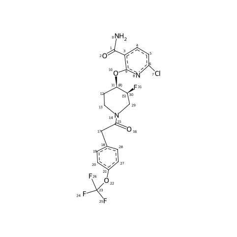 NC(=O)c1ccc(Cl)nc1O[C@@H]1CCN(C(=O)Cc2ccc(OC(F)(F)F)cc2)C[C@@H]1F